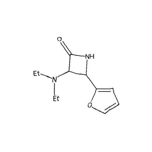 CCN(CC)C1C(=O)NC1c1ccco1